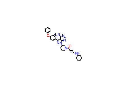 Nc1ncnc2c1c(-c1ccc(Oc3ccccc3)cc1)nn2C1CCCN(C(=O)/C=C/CNC2CCCCC2)C1